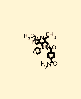 CCc1nc2c(cnn2CC)c(NC2CCOCC2)c1CNC(=O)c1ccc(C(N)=O)cc1